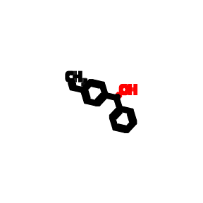 C=Cc1ccc(C(O)c2ccccc2)cc1